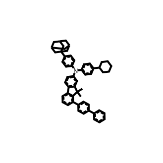 CC1(C)c2cc(N(c3ccc(C4CCCCC4)cc3)c3ccc(C45CC6CC(CC(C6)C4)C5)cc3)ccc2-c2cccc(-c3ccc(-c4ccccc4)cc3)c21